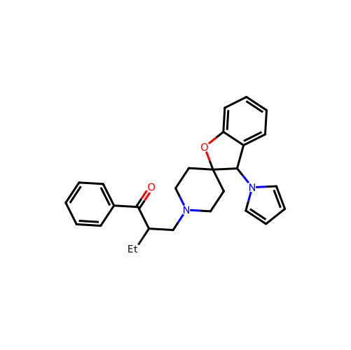 CCC(CN1CCC2(CC1)Oc1ccccc1C2n1cccc1)C(=O)c1ccccc1